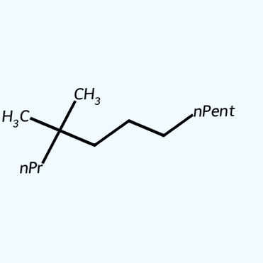 CCCCCCCCC(C)(C)CCC